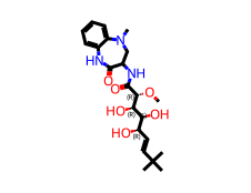 CO[C@@H](C(=O)NC1CN(C)c2ccccc2NC1=O)[C@H](O)[C@@H](O)[C@H](O)C=CC(C)(C)C